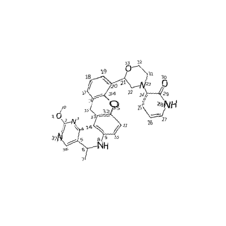 COc1ncc(C(C)Nc2ccc3c(c2)Cc2cccc(C4CN(c5ccc[nH]c5=O)CCO4)c2O3)cn1